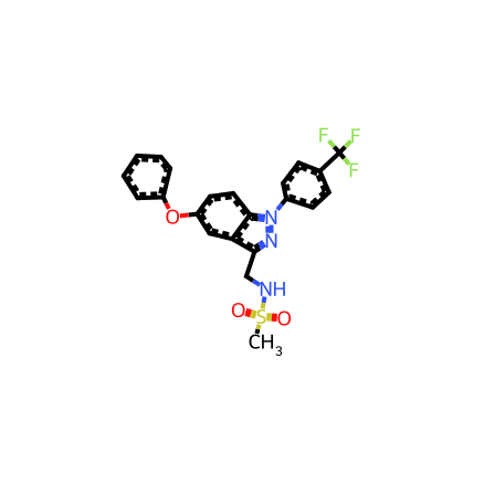 CS(=O)(=O)NCc1nn(-c2ccc(C(F)(F)F)cc2)c2ccc(Oc3ccccc3)cc12